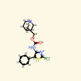 O=C(Nc1nc(Cl)sc1-c1ccccc1)OCC1CN2CCC1CC2